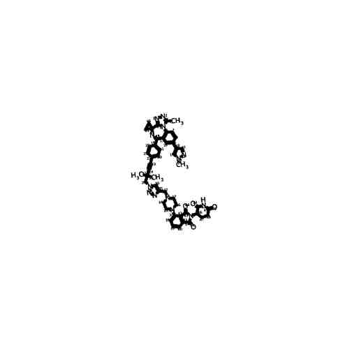 Cc1nnc2n1-c1ccc(-c3cnn(C)c3)cc1C(c1ccc(C#CC(C)(C)Cn3cc(CN4CCN(c5cccc6c5C(=O)N(C5CCC(=O)NC5=O)C6=O)CC4)nn3)cc1)=NC21CC1